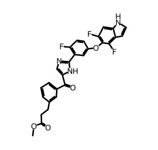 COC(=O)CCc1cccc(C(=O)c2cnc(-c3cc(Oc4c(F)cc5[nH]ccc5c4F)ccc3F)[nH]2)c1